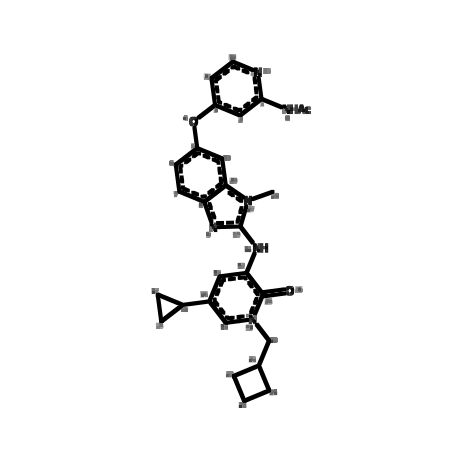 CC(=O)Nc1cc(Oc2ccc3nc(Nc4cc(C5CC5)cn(CC5CCC5)c4=O)n(C)c3c2)ccn1